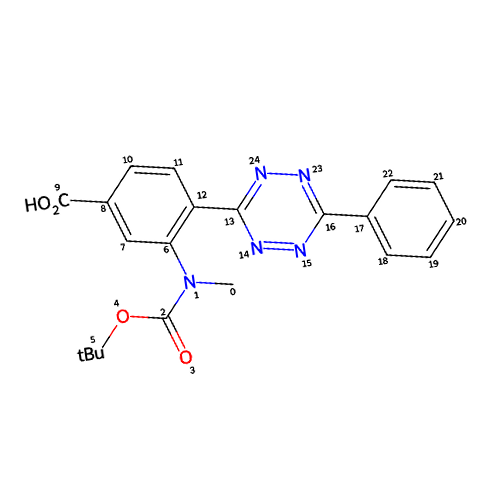 CN(C(=O)OC(C)(C)C)c1cc(C(=O)O)ccc1-c1nnc(-c2ccccc2)nn1